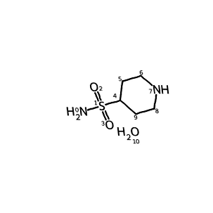 NS(=O)(=O)C1CCNCC1.O